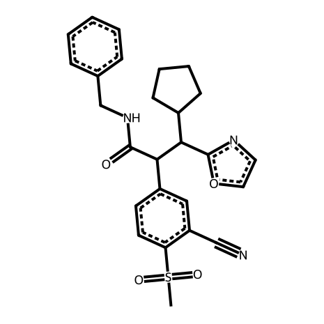 CS(=O)(=O)c1ccc(C(C(=O)NCc2ccccc2)C(c2ncco2)C2CCCC2)cc1C#N